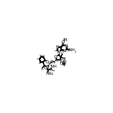 CCCCC(=O)[C@H](C)NP(=O)(OC[C@H]1O[C@@H](n2cnc3c(OCC)nc(N)nc32)C(C)(N=[N+]=[N-])[C@@H]1O)OC(C)c1ccccc1